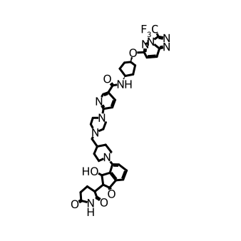 O=C1CCC(C2C(=O)c3cccc(N4CCC(CN5CCN(c6ccc(C(=O)N[C@H]7CC[C@H](Oc8ccc9nnc(C(F)(F)F)n9n8)CC7)cn6)CC5)CC4)c3C2O)C(=O)N1